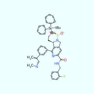 C=C(/C=N\C)c1cccc(-c2nc(C(=O)NCc3ccccc3F)cc3c2[C@@H](CCO[Si](c2ccccc2)(c2ccccc2)C(C)(C)C)N([S@+]([O-])C(C)(C)C)C3)c1